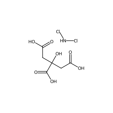 ClNCl.O=C(O)CC(O)(CC(=O)O)C(=O)O